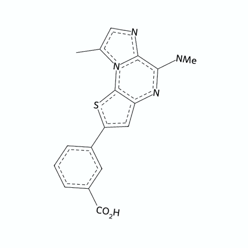 CNc1nc2cc(-c3cccc(C(=O)O)c3)sc2n2c(C)cnc12